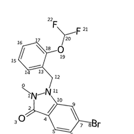 Cn1c(=O)c2ccc(Br)cc2n1Cc1ccccc1OC(F)F